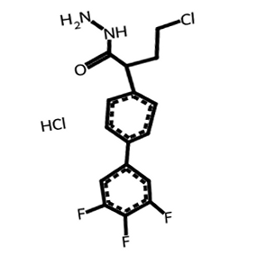 Cl.NNC(=O)C(CCCl)c1ccc(-c2cc(F)c(F)c(F)c2)cc1